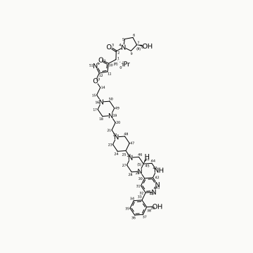 CC(C)[C@@H](C(=O)N1CC[C@@H](O)C1)c1cc(OCCN2CCN(CCN3CCC(N4CCN5c6cc(-c7ccccc7O)nnc6NC[C@H]5C4)CC3)CC2)no1